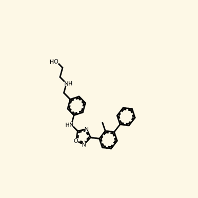 Cc1c(-c2ccccc2)cccc1-c1noc(Nc2cccc(CNCCO)c2)n1